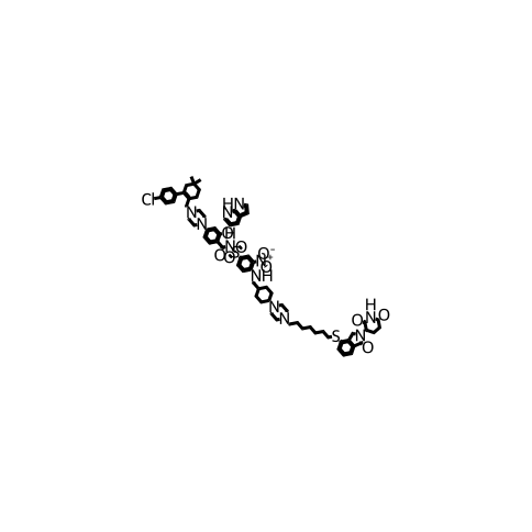 CC1(C)CCC(CN2CCN(c3ccc(C(=O)NS(=O)(=O)c4ccc(NCC5CCC(N6CCN(CCCCCCCSc7cccc8c7CN(C7CCC(=O)NC7=O)C8=O)CC6)CC5)c([N+](=O)[O-])c4)c(Oc4cnc5[nH]ccc5c4)c3)CC2)=C(c2ccc(Cl)cc2)C1